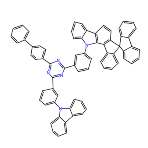 c1ccc(-c2ccc(-c3nc(-c4cccc(-n5c6ccccc6c6ccccc65)c4)nc(-c4cccc(-n5c6ccccc6c6ccc7c(c65)-c5ccccc5C75c6ccccc6-c6ccccc65)c4)n3)cc2)cc1